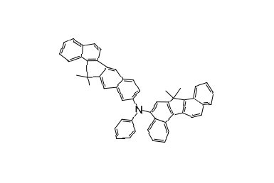 CC1(C)c2cc3cc(N(c4ccccc4)c4cc5c(c6ccccc46)-c4ccc6ccccc6c4C5(C)C)ccc3cc2-c2ccc3ccccc3c21